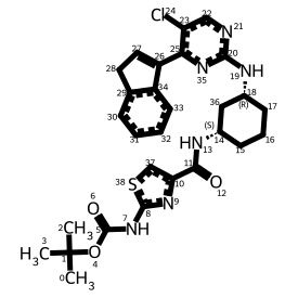 CC(C)(C)OC(=O)Nc1nc(C(=O)N[C@H]2CCC[C@@H](Nc3ncc(Cl)c(C4=CCc5ccccc54)n3)C2)cs1